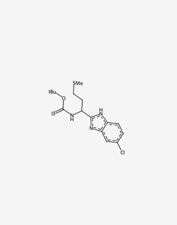 CSCCC(NC(=O)OC(C)(C)C)c1nc2cc(Cl)ccc2[nH]1